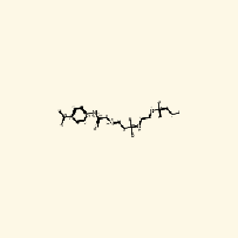 CCCC(C)(C)OCCOC(C)(C)CCNCC(=O)Nc1ccc(C(C)C)cc1